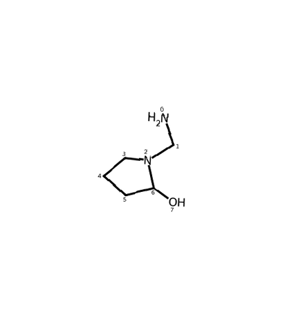 NCN1CCCC1O